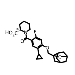 O=C(O)[C@@H]1CCCCN1C(=O)c1cc(C2CC2)c(OCC23CC4CC(CC2C4)C3)cc1F